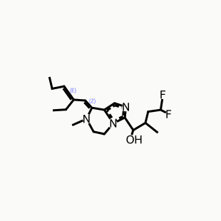 CC/C=C(/C=C1/c2cnc(C(O)C(C)CC(F)F)n2CCN1C)CC